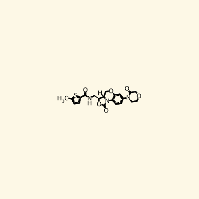 Cc1ccc(C(=O)NC[C@@H]2OC(=O)N3c4ccc(N5CCOCC5=O)cc4OC[C@@H]23)s1